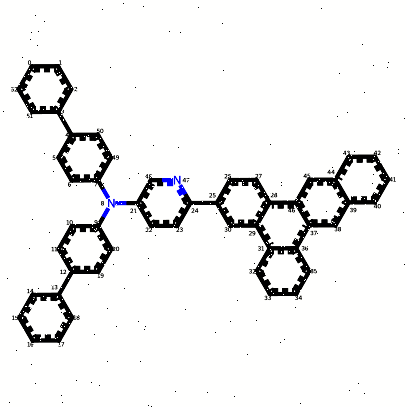 c1ccc(-c2ccc(N(c3ccc(-c4ccccc4)cc3)c3ccc(-c4ccc5c(c4)c4ccccc4c4cc6ccccc6cc54)nc3)cc2)cc1